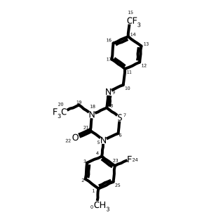 Cc1ccc(N2CSC(=NCc3ccc(C(F)(F)F)cc3)N(CC(F)(F)F)C2=O)c(F)c1